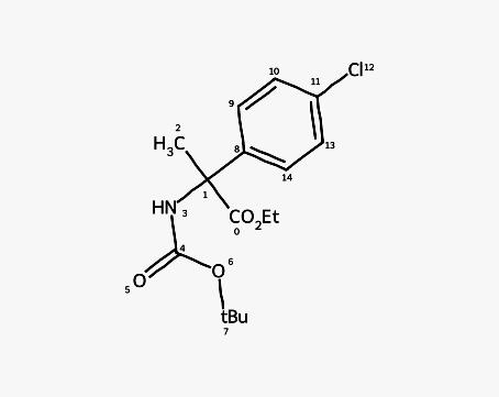 CCOC(=O)C(C)(NC(=O)OC(C)(C)C)c1ccc(Cl)cc1